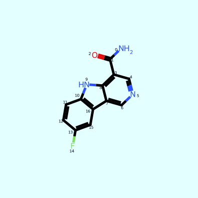 NC(=O)c1cncc2c1[nH]c1ccc(F)cc12